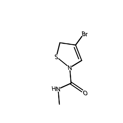 CNC(=O)N1C=C(Br)CS1